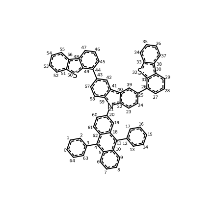 c1ccc(-c2c3ccccc3c(-c3ccccc3)c3cc(-n4c5ccc(-c6cccc7c6sc6ccccc67)cc5c5cc(-c6cccc7c6sc6ccccc67)ccc54)ccc23)cc1